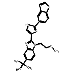 COCCn1c(-c2c[nH]c(-c3ccc4sccc4c3)n2)nc2cc(C(C)(C)O)ccc21